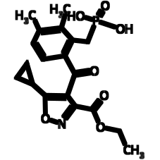 CCOC(=O)c1noc(C2CC2)c1C(=O)c1ccc(C)c(C)c1CP(=O)(O)O